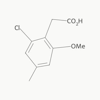 COc1cc(C)cc(Cl)c1CC(=O)O